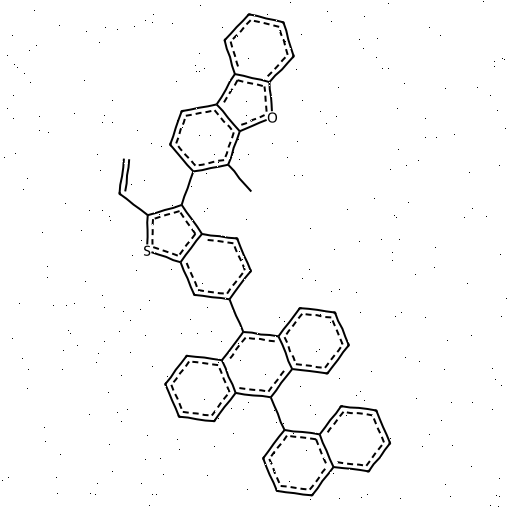 C=Cc1sc2cc(-c3c4ccccc4c(-c4cccc5ccccc45)c4ccccc34)ccc2c1-c1ccc2c(oc3ccccc32)c1C